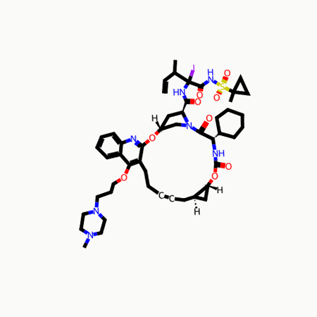 C=CC(C)C(I)(NC(=O)[C@@H]1C[C@@H]2CN1C(=O)[C@H](C1CCCCC1)NC(=O)O[C@@H]1C[C@H]1CCCCCc1c(nc3ccccc3c1OCCCN1CCN(C)CC1)O2)C(=O)NS(=O)(=O)C1(C)CC1